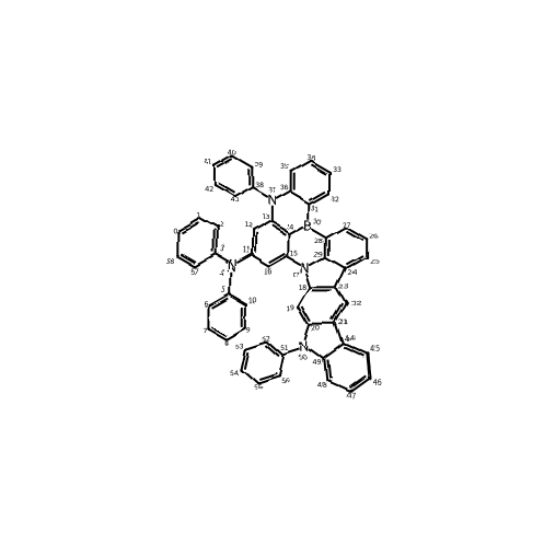 c1ccc(N(c2ccccc2)c2cc3c4c(c2)-n2c5cc6c(cc5c5cccc(c52)B4c2ccccc2N3c2ccccc2)c2ccccc2n6-c2ccccc2)cc1